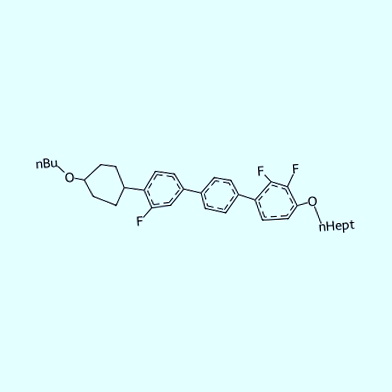 CCCCCCCOc1ccc(-c2ccc(-c3ccc(C4CCC(OCCCC)CC4)c(F)c3)cc2)c(F)c1F